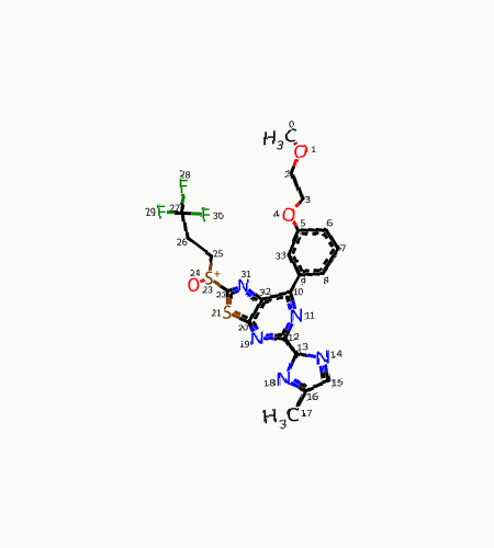 COCCOc1cccc(-c2nc(C3N=CC(C)=N3)nc3sc([S+]([O-])CCC(F)(F)F)nc23)c1